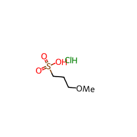 COCCCS(=O)(=O)O.Cl